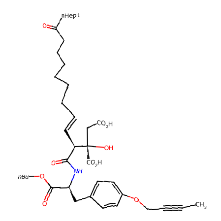 CC#CCOc1ccc(C[C@H](NC(=O)[C@@H](C=CCCCCCCC(=O)CCCCCCC)[C@@](O)(CC(=O)O)C(=O)O)C(=O)OCCCC)cc1